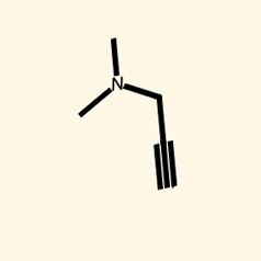 [C]#CCN(C)C